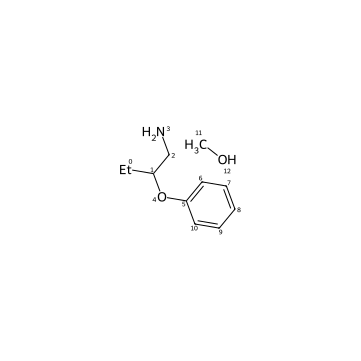 CCC(CN)Oc1ccccc1.CO